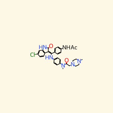 CC(=O)Nc1ccc(C(Nc2ccc(N(C)C(=O)CN3CCN(C)CC3)cc2)=C2C(=O)Nc3cc(Cl)ccc32)cc1